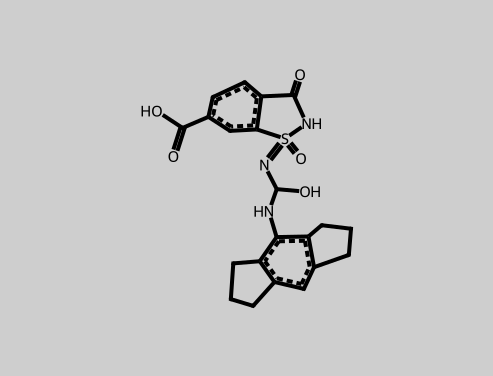 O=C(O)c1ccc2c(c1)S(=O)(=NC(O)Nc1c3c(cc4c1CCC4)CCC3)NC2=O